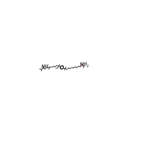 CCC(C)(CCCCCCCCC(N)C(C)C)c1ccc(C(C)(C)CCCCCCCCCC(N)C(C)C)cc1